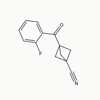 N#CC12CC(C(=O)c3ccccc3F)(C1)C2